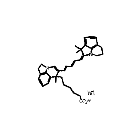 CC1(CCCCCC(=O)O)C(/C=C/C=C/C=C2/N3CCCc4cccc(c43)C2(C)C)=CN2CCc3cccc1c32.Cl